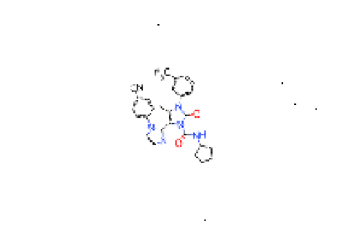 Cc1c(-c2nccn2-c2ccc(C#N)cc2)n(C(=O)NC2CCCC2)c(=O)n1-c1cccc(C(F)(F)F)c1